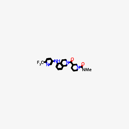 CNC(=O)N1CCCC(C(=O)N2CCc3c(cccc3Nc3ccc(C(F)(F)F)nc3)C2)C1